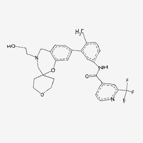 Cc1ccc(NC(=O)c2ccnc(C(F)(F)F)c2)cc1-c1ccc2c(c1)OC1(CCOCC1)CN(CCO)C2